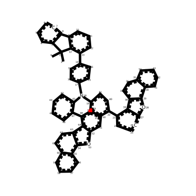 CC1(C)c2ccccc2-c2cccc(-c3ccc(N(c4ccc(-c5cccc6oc7c8ccccc8ccc7c56)cc4)c4ccccc4-c4cccc5oc6c7ccccc7ccc6c45)cc3)c21